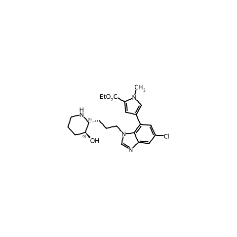 CCOC(=O)c1cc(-c2cc(Cl)cc3ncn(CCC[C@H]4NCCC[C@@H]4O)c23)cn1C